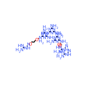 C=O.C=O.C=O.CCC=O.N#CNC(=N)N.N#CNC(=N)N.N#CNC(=N)N.Nc1nc(N)nc(N)n1.Nc1nc(N)nc(N)n1.Nc1nc(N)nc(N)n1